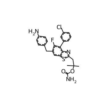 CC(C)(Cc1nc2c(-c3cccc(Cl)c3)c(F)c(Cc3ccc(N)cc3)cc2s1)OC(N)=O